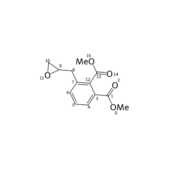 COC(=O)c1cccc(CC2CO2)c1C(=O)OC